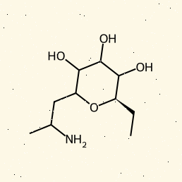 CC[C@H]1OC(CC(C)N)C(O)C(O)C1O